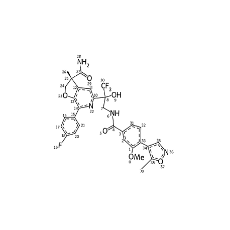 COc1cc(C(=O)NCC(O)(c2cc3c(c(-c4ccc(F)cc4)n2)OC[C@]3(C)C(N)=O)C(F)(F)F)ccc1-c1cnoc1C